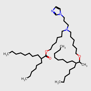 CCCCCCCCC(CCCCCC)C(=O)OCCCCCCN(CCCCCCOC(C)C(CCCCCC)CCCCCCCC)CCCn1ccnc1